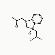 CC(Cl)CN1C[N+]([O-])(CC(C)Cl)c2ccccc21